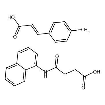 Cc1ccc(C=CC(=O)O)cc1.O=C(O)CCC(=O)Nc1cccc2ccccc12